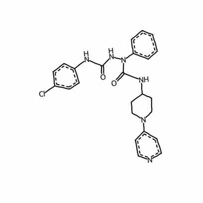 O=C(Nc1ccc(Cl)cc1)NN(C(=O)NC1CCN(c2ccncc2)CC1)c1ccccc1